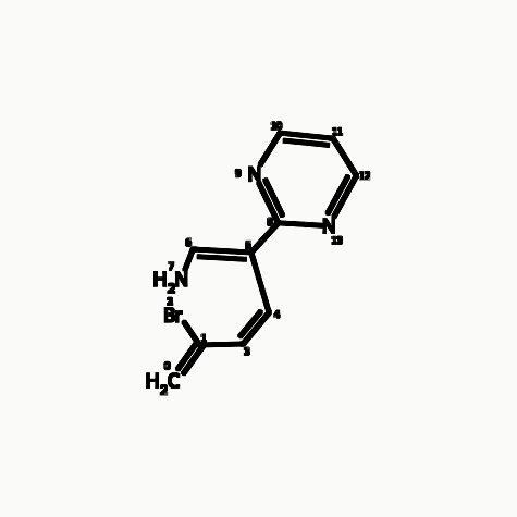 C=C(Br)/C=C\C(=C/N)c1ncccn1